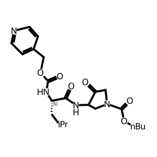 CCCCOC(=O)N1CC(=O)C(NC(=O)[C@H](CC(C)C)NC(=O)OCc2ccncc2)C1